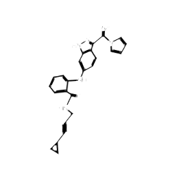 N=C(c1n[nH]c2cc(Nc3ccccc3C(=O)NCC#CC3CC3)ccc12)n1cccc1